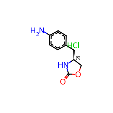 Cl.Nc1ccc(C[C@H]2COC(=O)N2)cc1